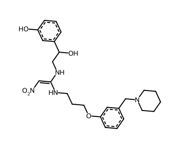 O=[N+]([O-])/C=C(\NCCCOc1cccc(CN2CCCCC2)c1)NCC(O)c1cccc(O)c1